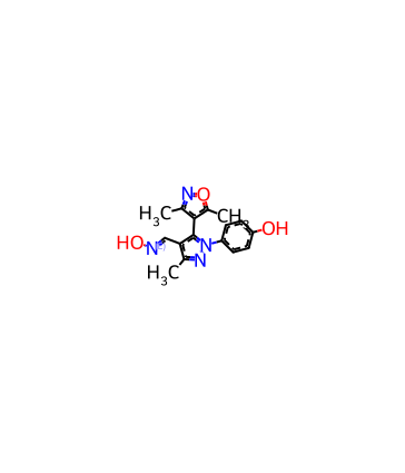 Cc1nn(-c2ccc(O)cc2)c(-c2c(C)noc2C)c1/C=N/O